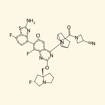 N#CC1CN(C(=O)C23CC4CC2C(CN(c2nc(OC[C@@]56CCCN5C[C@H](F)C6)nc5c(F)c(-c6ccc(F)c7sc(N)nc67)c(Cl)cc25)C4)C3)C1